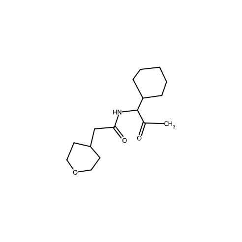 CC(=O)C(NC(=O)CC1CCOCC1)C1CCCCC1